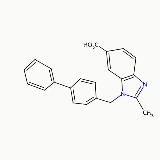 Cc1nc2ccc(C(=O)O)cc2n1Cc1ccc(-c2ccccc2)cc1